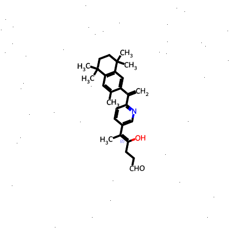 C=C(c1ccc(/C(C)=C(\O)CCC=O)cn1)c1cc2c(cc1C)C(C)(C)CCC2(C)C